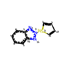 C1=C[SH](n2nc3ccccc3n2)C=C1